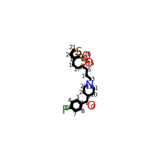 O=C(c1ccc(F)cc1)C1CCN(CCCC2CCc3ccsc3S2(=O)=O)CC1